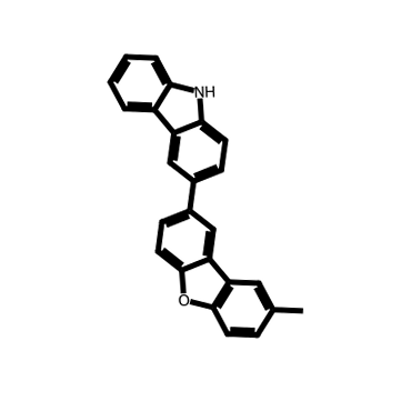 Cc1ccc2oc3ccc(-c4ccc5[nH]c6ccccc6c5c4)cc3c2c1